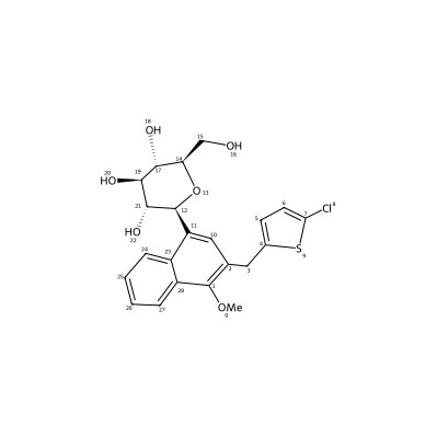 COc1c(Cc2ccc(Cl)s2)cc([C@@H]2O[C@H](CO)[C@@H](O)[C@H](O)[C@H]2O)c2ccccc12